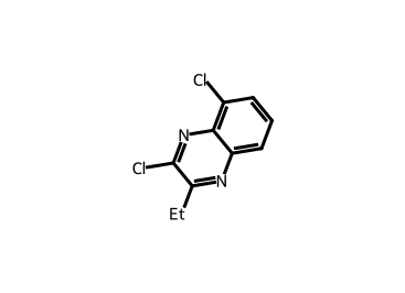 CCc1nc2cccc(Cl)c2nc1Cl